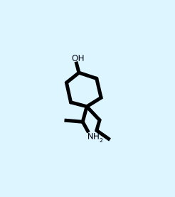 CCCC1(C(C)N)CCC(O)CC1